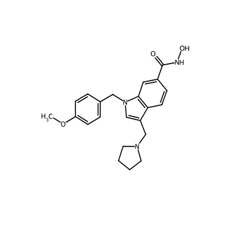 COc1ccc(Cn2cc(CN3CCCC3)c3ccc(C(=O)NO)cc32)cc1